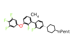 C.CCCCC[C@H]1CC[C@H](c2ccc(-c3cccc(Oc4cc(F)c(F)c(F)c4)c3F)c(F)c2)CC1